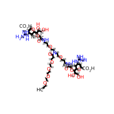 C#CCOCCOCCOCCOCCC(=O)N(CCOCCCNC(=O)CO[C@@H]([C@@H]1OC(C(=O)O)=C[C@H](NC(=N)N)[C@H]1NC(C)=O)[C@H](O)CO)CCOCCCNC(=O)CO[C@@H]([C@@H]1OC(C(=O)O)=C[C@H](NC(=N)N)[C@H]1NC(C)=O)[C@H](O)CO